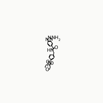 Nn1nnc2ccc(C(=O)NCc3ccc(S(=O)(=O)N4CCOCC4)cc3)cc21